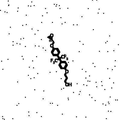 OCCCOc1ccc(C(c2ccc(OC[C@H]3CO3)cc2)(C(F)(F)F)C(F)(F)F)cc1